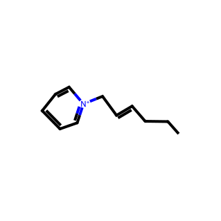 CCCC=CC[n+]1ccccc1